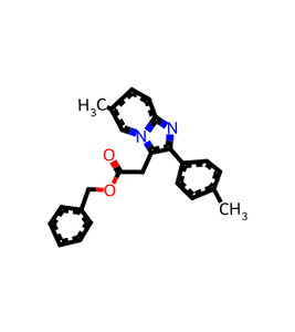 Cc1ccc(-c2nc3ccc(C)cn3c2CC(=O)OCc2ccccc2)cc1